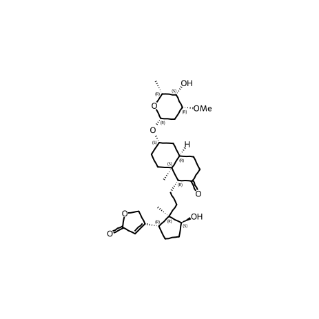 CO[C@@H]1C[C@H](O[C@H]2CC[C@@]3(C)[C@H](CCC(=O)[C@@H]3CC[C@]3(C)[C@@H](C4=CC(=O)OC4)CC[C@@H]3O)C2)O[C@H](C)[C@@H]1O